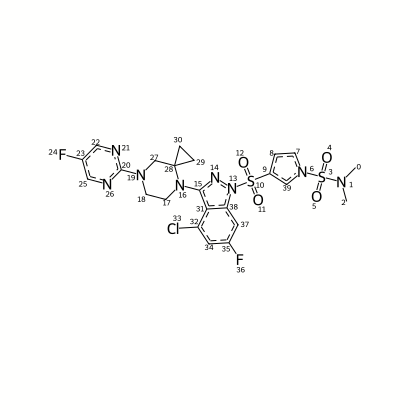 CN(C)S(=O)(=O)n1ccc(S(=O)(=O)n2nc(N3CCN(c4ncc(F)cn4)CC34CC4)c3c(Cl)cc(F)cc32)c1